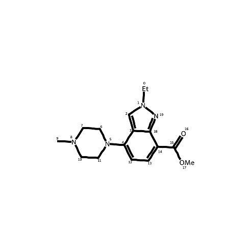 CCn1cc2c(N3CCN(C)CC3)ccc(C(=O)OC)c2n1